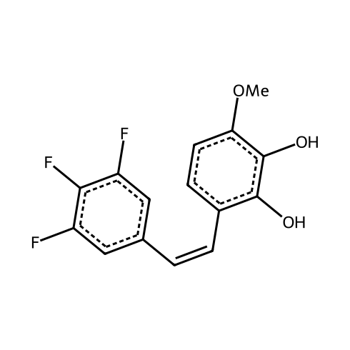 COc1ccc(/C=C\c2cc(F)c(F)c(F)c2)c(O)c1O